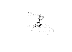 CCOC(=O)c1c(C)c(-c2ccnc(OC)c2)cn1N